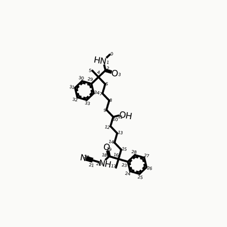 CNC(=O)C(C)(CCCCC(O)CCCCC(C)(C(=O)NC#N)c1ccccc1)c1ccccc1